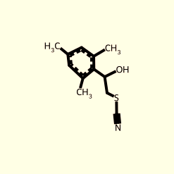 Cc1cc(C)c(C(O)CSC#N)c(C)c1